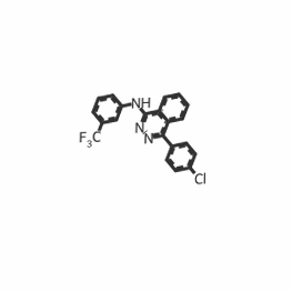 FC(F)(F)c1cccc(Nc2nnc(-c3ccc(Cl)cc3)c3ccccc23)c1